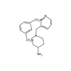 NC1CCN(Cc2cccnc2)CC1.O=C(O)c1cccc(C(=O)O)c1